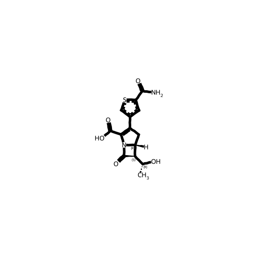 C[C@@H](O)[C@H]1C(=O)N2C(C(=O)O)=C(c3csc(C(N)=O)c3)C[C@H]12